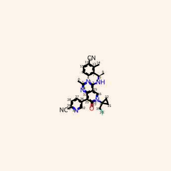 Cc1nc(N[C@H](C)c2cccc(C#N)c2C)c2cn(C3(CF)CC3)c(=O)c(-c3ccc(C#N)nc3)c2n1